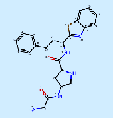 NCC(=O)NC1CNC(C(=O)N[C@H](CCc2ccccc2)c2nc3ccccc3s2)C1